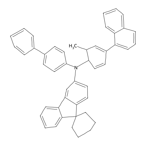 CC1C=C(c2cccc3ccccc23)C=CC1N(c1ccc(-c2ccccc2)cc1)c1ccc2c(c1)-c1ccccc1C21CCCCC1